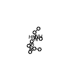 c1ccc(-c2cccc(C3NC(c4ccc5c(c4)oc4c(-n6c7ccccc7c7cc(-c8ccccc8)ccc76)cccc45)=NC(c4ccccc4)N3)c2)cc1